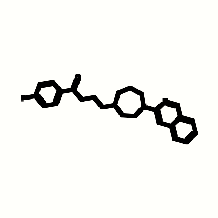 O=C(CCCC1CCCN(c2cc3ccccc3cn2)CC1)c1ccc(F)cc1